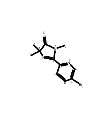 CN1C(=O)C(C)(C)N=C1c1ccc(Br)cn1